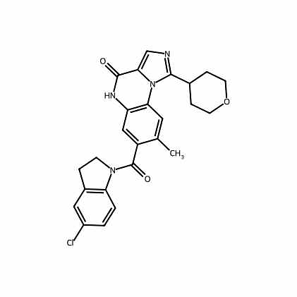 Cc1cc2c(cc1C(=O)N1CCc3cc(Cl)ccc31)[nH]c(=O)c1cnc(C3CCOCC3)n12